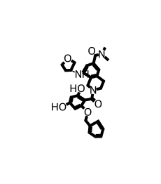 CN(C)C(=O)c1cc2c(c(N[C@@H]3CCOC3)c1)CN(C(=O)c1c(O)cc(O)cc1OCc1ccccc1)CC2